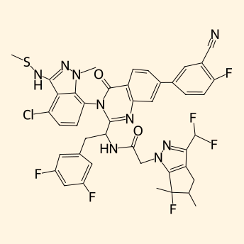 CSNc1nn(C)c2c(-n3c(C(Cc4cc(F)cc(F)c4)NC(=O)Cn4nc(C(F)F)c5c4C(C)(F)C(C)C5)nc4cc(-c5ccc(F)c(C#N)c5)ccc4c3=O)ccc(Cl)c12